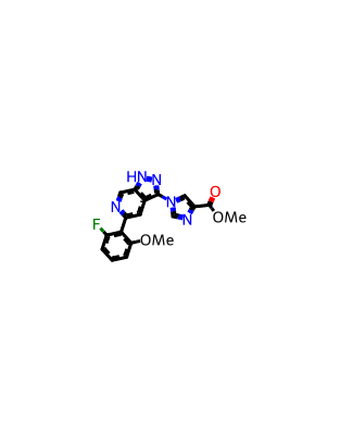 COC(=O)c1cn(-c2n[nH]c3cnc(-c4c(F)cccc4OC)cc23)cn1